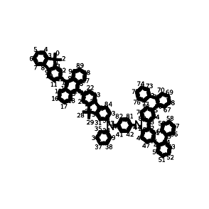 CC1(C)c2ccccc2-c2ccc(-c3c4ccccc4c(-c4ccc5c(c4)C(C)(C)c4cc(N(c6ccccc6)c6ccc(-n7c8ccc(-c9ccccc9-c9ccccc9)cc8c8cc(-c9ccccc9-c9ccccc9)ccc87)cc6)ccc4-5)c4ccccc34)cc21